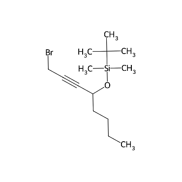 CCCCC(C#CCBr)O[Si](C)(C)C(C)(C)C